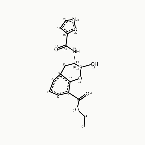 CCOC(=O)c1cccc2c1OB(O)[C@@H](NC(=O)c1ccno1)C2